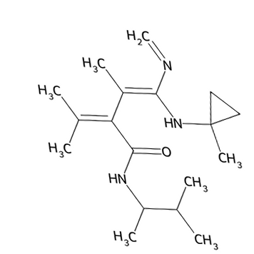 C=N/C(NC1(C)CC1)=C(\C)C(C(=O)NC(C)C(C)C)=C(C)C